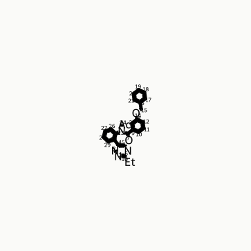 CCc1nnc2c(n1)OC(c1cccc(OCc3ccccc3)c1)N(C(C)=O)c1ccccc1-2